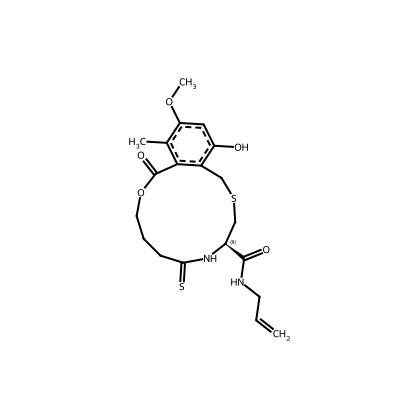 C=CCNC(=O)[C@@H]1CSCc2c(O)cc(OC)c(C)c2C(=O)OCCCC(=S)N1